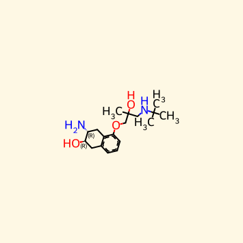 CC(O)(CNC(C)(C)C)COc1cccc2c1C[C@@H](N)[C@H](O)C2